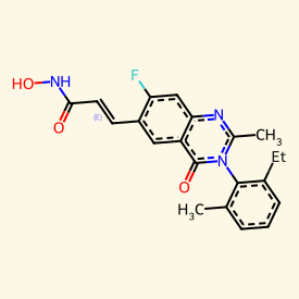 CCc1cccc(C)c1-n1c(C)nc2cc(F)c(/C=C/C(=O)NO)cc2c1=O